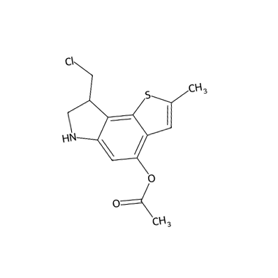 CC(=O)Oc1cc2c(c3sc(C)cc13)C(CCl)CN2